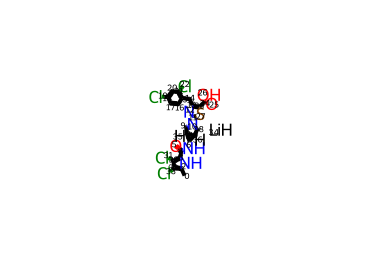 Cc1[nH]c(C(=O)NC2[C@H]3CN(c4nc(Cc5ccc(Cl)cc5Cl)c(C(=O)O)s4)C[C@@H]23)c(Cl)c1Cl.[LiH]